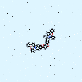 CC(C)c1ccc2c(oc3ccccc32)c1N(c1ccccc1)c1ccc2cc3c(cc2c1)oc1c3ccc2oc3cc4cc(N(c5ccccc5)c5c(C(C)C)ccc6c5oc5ccccc56)ccc4cc3c21